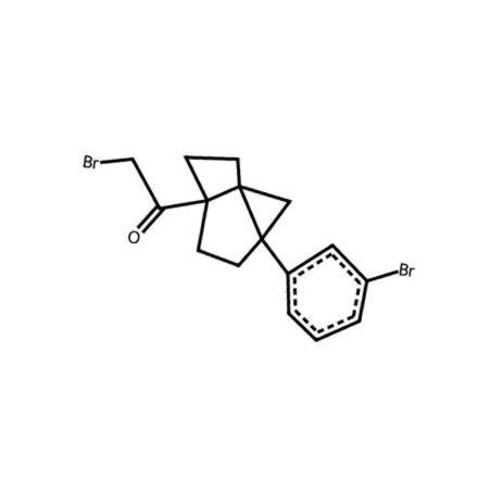 O=C(CBr)C12CCC3(c4cccc(Br)c4)CC13CC2